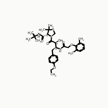 CCOc1ccc(C[C@H](NC(=O)COc2c(C)cccc2C)[C@H](O)C(=O)N2CSC(C)(C)[C@H]2C(=O)NC(C)(C)C)cc1